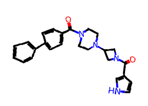 O=C(c1ccc(-c2ccccc2)cc1)N1CCN(C2CN(C(=O)c3cc[nH]c3)C2)CC1